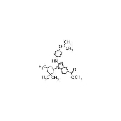 COC(=O)c1ccc2c(c1)nc(Nc1ccc(OC(C)C)cc1)n2[C@@H]1C[C@H](C)CC(C)(C)C1